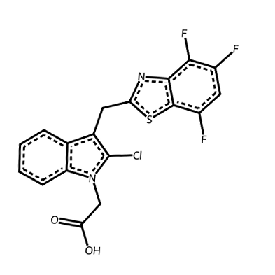 O=C(O)Cn1c(Cl)c(Cc2nc3c(F)c(F)cc(F)c3s2)c2ccccc21